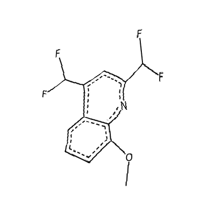 COc1cccc2c(C(F)F)cc(C(F)F)nc12